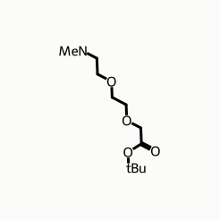 CNCCOCCOCC(=O)OC(C)(C)C